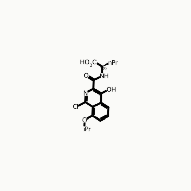 CCC[C@@H](NC(=O)c1nc(Cl)c2c(OC(C)C)cccc2c1O)C(=O)O